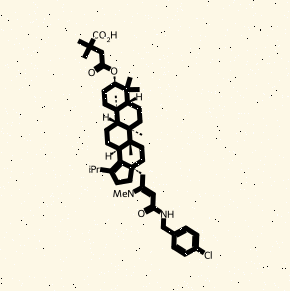 CN/C(=C\C(=O)NCc1ccc(Cl)cc1)C[C@]12CCC(C(C)C)=C1[C@H]1CC[C@@H]3[C@@]4(C)CC[C@H](OC(=O)CC(C)(C)C(=O)O)C(C)(C)[C@@H]4CC[C@@]3(C)[C@]1(C)CC2